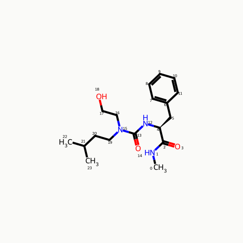 CNC(=O)[C@H](Cc1ccccc1)NC(=O)N(CCO)CCC(C)C